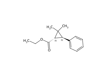 CCOC(=O)[C@H]1[C@H](c2ccccc2)C1(C)C